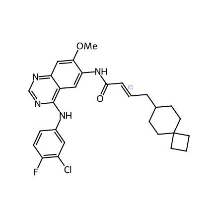 COc1cc2ncnc(Nc3ccc(F)c(Cl)c3)c2cc1NC(=O)/C=C/CC1CCC2(CCC2)CC1